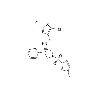 Cn1cnc(S(=O)(=O)N2CC(c3ccccc3)[C@H](NCc3cc(Cl)sc3Cl)C2)c1